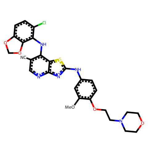 COc1cc(Nc2nc3ncc(C#N)c(Nc4c(Cl)ccc5c4OCO5)c3s2)ccc1OCCN1CCOCC1